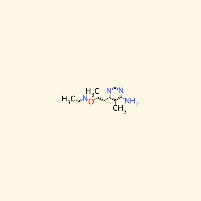 C/C=N/O/C(C)=C/c1ncnc(N)c1C